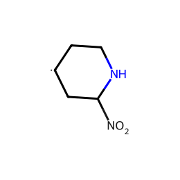 O=[N+]([O-])C1C[CH]CCN1